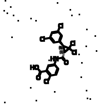 O=C(O)c1cc(NC(=O)[C@@H]2[C@@H](c3cc(Cl)cc(Cl)c3)C2(Cl)Cl)ccc1Cl